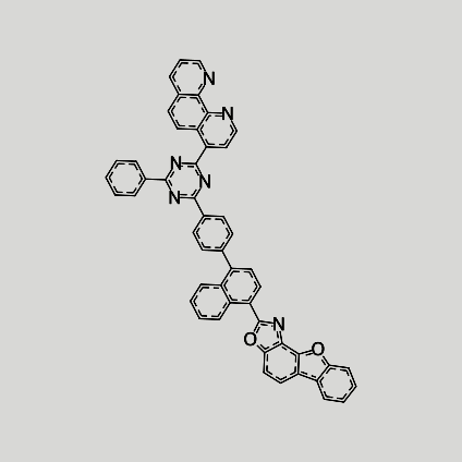 c1ccc(-c2nc(-c3ccc(-c4ccc(-c5nc6c(ccc7c8ccccc8oc76)o5)c5ccccc45)cc3)nc(-c3ccnc4c3ccc3cccnc34)n2)cc1